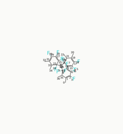 CC1=C(F)C(F)=C(F)C(F)(B(C2(F)C(F)=C(F)C(F)=C(C)C2C)C2(F)C(F)=C(F)C(F)=C(C)C2C)C1C